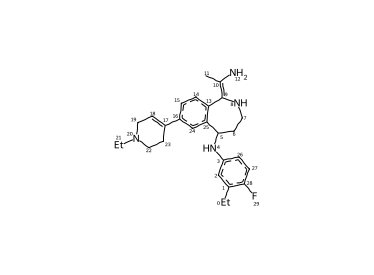 CCc1cc(NC2CCN/C(=C(/C)N)c3ccc(C4=CCN(CC)CC4)cc32)ccc1F